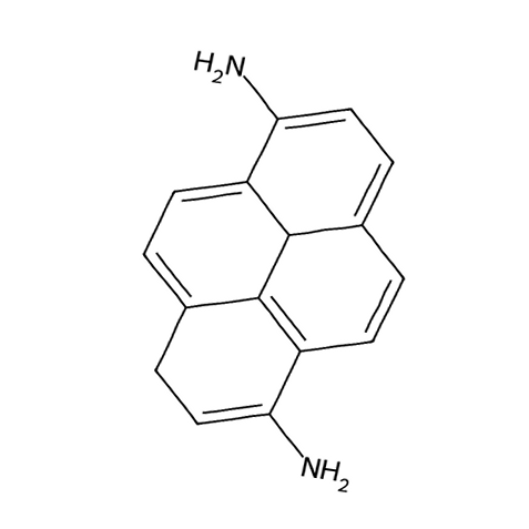 NC1=CC=C2C=CC3=C4C(=CC=C1C24)CC=C3N